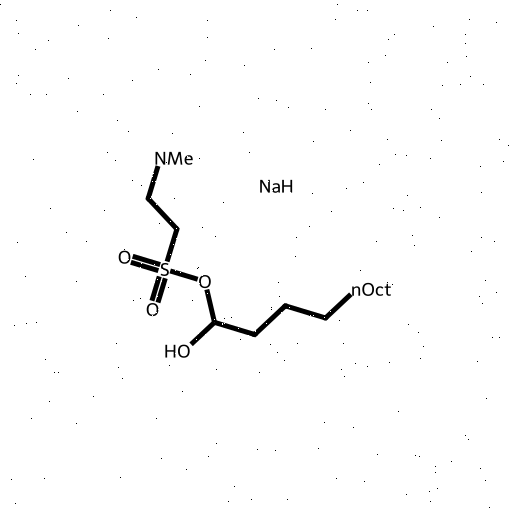 CCCCCCCCCCCC(O)OS(=O)(=O)CCNC.[NaH]